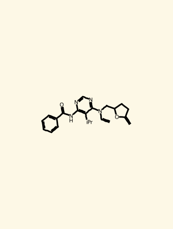 C=CN(CC1CCC(=C)O1)c1ncnc(NC(=O)c2ccccc2)c1C(C)C